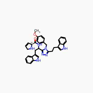 COc1ccc(Cn2c(CCc3c[nH]c4ccccc34)nnc2C(Cc2c[nH]c3ccccc23)NC(=O)[C@@H]2C=CCN2)cc1